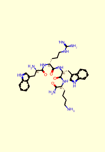 N=C(N)NCCC[C@@H](NC(=O)[C@H](N)Cc1c[nH]c2ccccc12)C(=O)N[C@H](Cc1c[nH]c2ccccc12)C(=O)N[C@H](CCCCN)C(N)=O